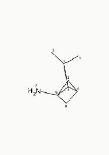 CC(C)C1C2CC1(N)C2